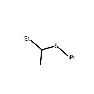 C[CH]C(C)SC(C)C